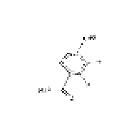 COC(=O)c1ccc(C=O)c(F)c1F